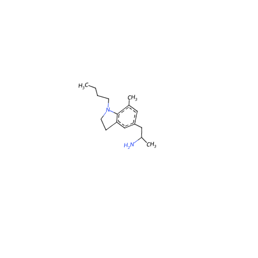 CCCCN1CCc2cc(CC(C)N)cc(C)c21